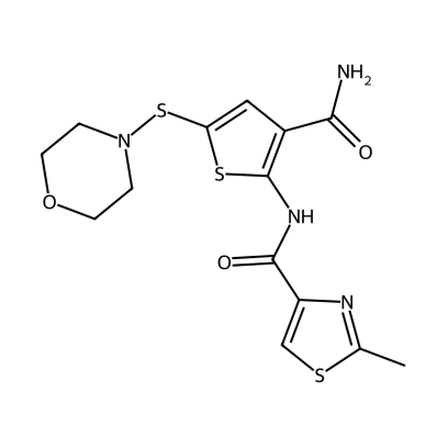 Cc1nc(C(=O)Nc2sc(SN3CCOCC3)cc2C(N)=O)cs1